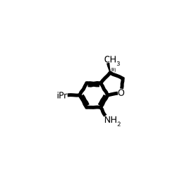 CC(C)c1cc(N)c2c(c1)[C@@H](C)CO2